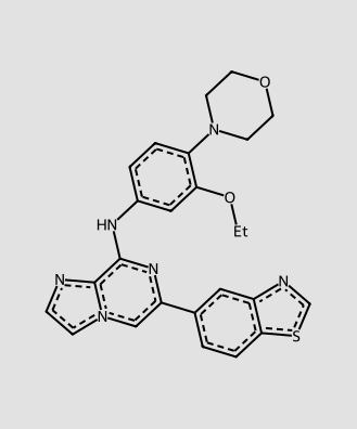 CCOc1cc(Nc2nc(-c3ccc4scnc4c3)cn3ccnc23)ccc1N1CCOCC1